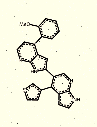 COc1ccccc1-c1ccnc2[nH]c(-c3cnc4[nH]ccc4c3-c3ccsc3)cc12